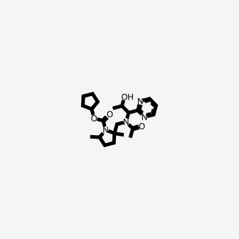 CC(=O)N(CC1(C)CCC(C)N1C(=O)OC1CCCC1)C(c1ncccn1)C(C)O